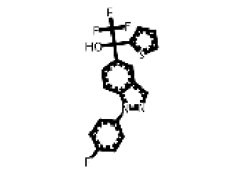 OC(c1ccc2c(cnn2-c2ccc(F)cc2)c1)(c1cccs1)C(F)(F)F